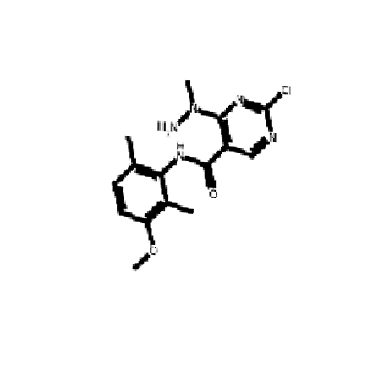 COc1ccc(C)c(NC(=O)c2cnc(Cl)nc2N(C)N)c1C